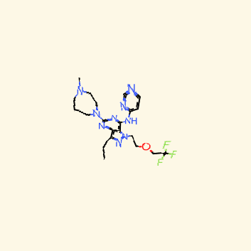 CCc1nn(CCOCC(F)(F)F)c2c(Nc3ccncn3)nc(N3CCCN(C)CC3)nc12